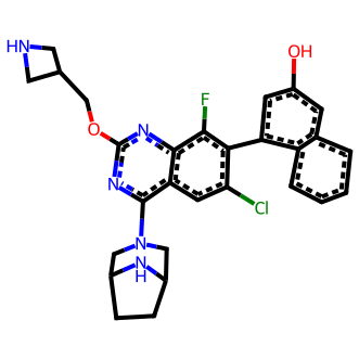 Oc1cc(-c2c(Cl)cc3c(N4CC5CCC(C4)N5)nc(OCC4CNC4)nc3c2F)c2ccccc2c1